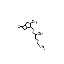 CCCCC(O)CCC1C(O)CC2C(=O)CC21